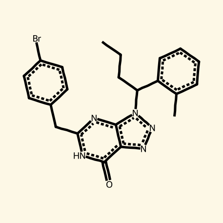 CCCC(c1ccccc1C)n1nnc2c(=O)[nH]c(Cc3ccc(Br)cc3)nc21